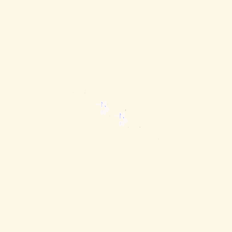 C=CC/C=N/C=N/CC=C